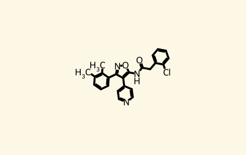 Cc1cccc(-c2noc(NC(=O)Cc3ccccc3Cl)c2-c2ccncc2)c1C